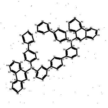 c1ccc(-c2ccc(N(c3cccc(-c4ccc(-c5cccc(N(c6ccc(-c7ccccc7)cc6)c6cc7ccccc7c7ccccc67)c5)cc4)c3)c3cc4ccccc4c4ccccc34)cc2)cc1